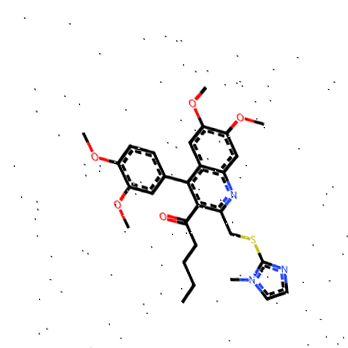 CCCCC(=O)c1c(CSc2nccn2C)nc2cc(OC)c(OC)cc2c1-c1ccc(OC)c(OC)c1